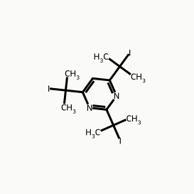 CC(C)(I)c1cc(C(C)(C)I)nc(C(C)(C)I)n1